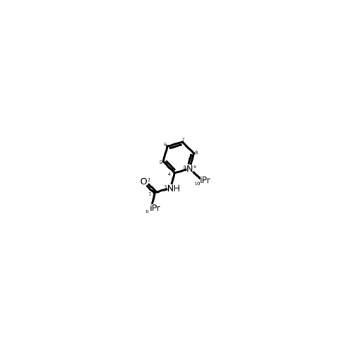 CC(C)C(=O)Nc1cccc[n+]1C(C)C